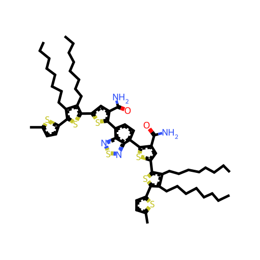 CCCCCCCCc1c(-c2ccc(C)s2)sc(-c2cc(C(N)=O)c(-c3ccc(-c4sc(-c5sc(-c6ccc(C)s6)c(CCCCCCCC)c5CCCCCCCC)cc4C(N)=O)c4nsnc34)s2)c1CCCCCCCC